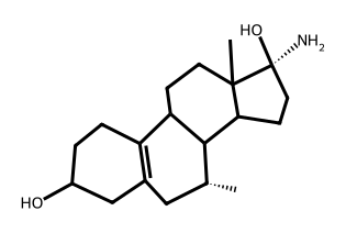 C[C@@H]1CC2=C(CCC(O)C2)C2CCC3(C)C(CC[C@]3(N)O)C21